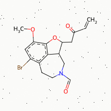 C=CC(=O)CC1Oc2c(OC)cc(Br)c3c2C1CN(C=O)CC3